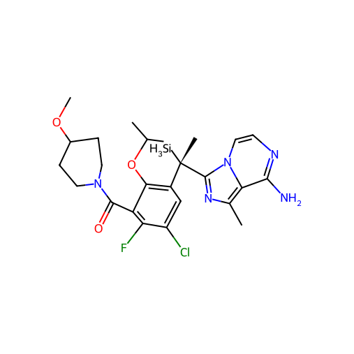 COC1CCN(C(=O)c2c(F)c(Cl)cc([C@](C)([SiH3])c3nc(C)c4c(N)nccn34)c2OC(C)C)CC1